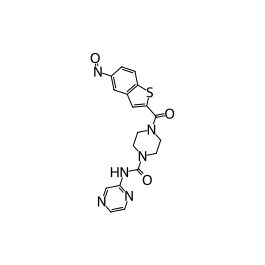 O=Nc1ccc2sc(C(=O)N3CCN(C(=O)Nc4cnccn4)CC3)cc2c1